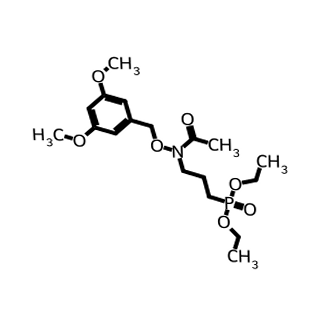 CCOP(=O)(CCCN(OCc1cc(OC)cc(OC)c1)C(C)=O)OCC